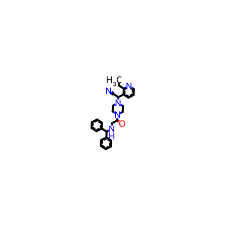 CCc1ncccc1C(C#N)N1CCN(C(=O)CNC(c2ccccc2)c2ccccc2)CC1